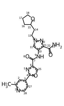 Cc1cc(-c2nc(C(=O)Nc3cn(CCC4CCCO4)nc3C(N)=O)co2)ccn1